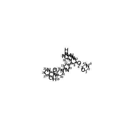 CN1CCO[C@H](COc2cc(-c3ccc(N4CCC(C)(NC(=O)c5ncccc5Cl)CC4)nc3)c3c4cn[nH]c4nn3c2)C1